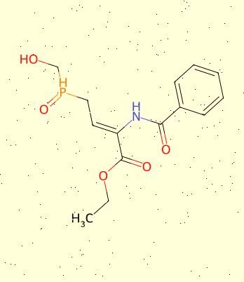 CCOC(=O)/C(=C/C[PH](=O)CO)NC(=O)c1ccccc1